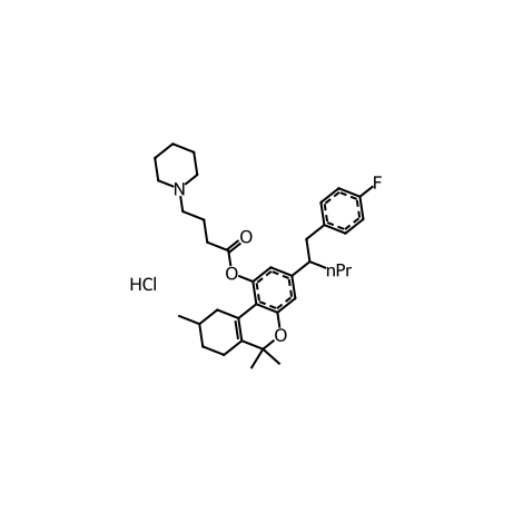 CCCC(Cc1ccc(F)cc1)c1cc(OC(=O)CCCN2CCCCC2)c2c(c1)OC(C)(C)C1=C2CC(C)CC1.Cl